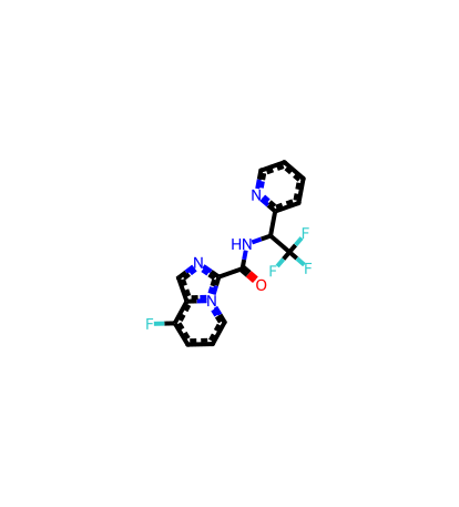 O=C(NC(c1ccccn1)C(F)(F)F)c1ncc2c(F)cccn12